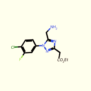 CCOC(=O)Cc1nc(CN)n(-c2ccc(Cl)c(F)c2)n1